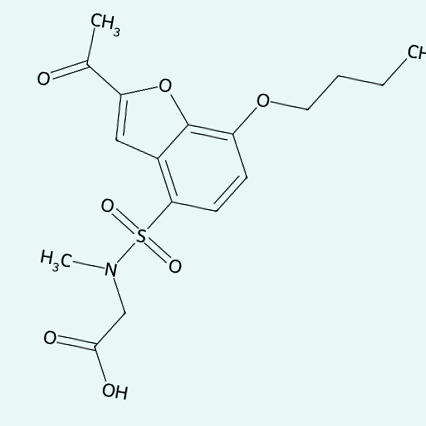 CCCCOc1ccc(S(=O)(=O)N(C)CC(=O)O)c2cc(C(C)=O)oc12